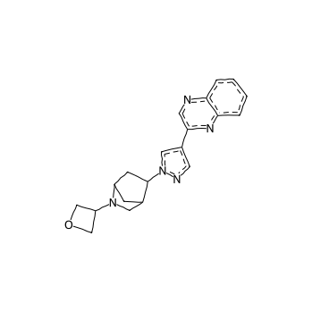 c1ccc2nc(-c3cnn(C4CC5CC4CN5C4COC4)c3)cnc2c1